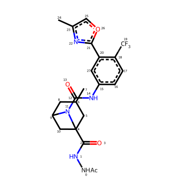 CC(=O)NNC(=O)C12CC(C)CC(C1)N2C(=O)Nc1ccc(C(F)(F)F)c(-c2nc(C)co2)c1